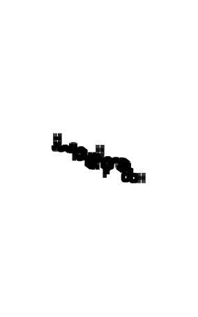 CNCCCN(C)c1ccc(-c2ccnc(Nc3cc(F)cc(CN4CCN(CC(=O)O)CC4)c3)n2)cn1